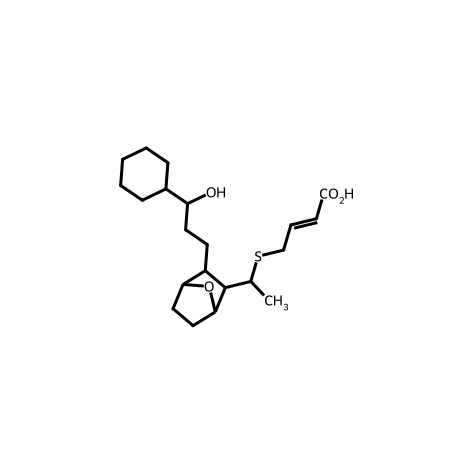 CC(SC/C=C/C(=O)O)C1C2CCC(O2)C1CCC(O)C1CCCCC1